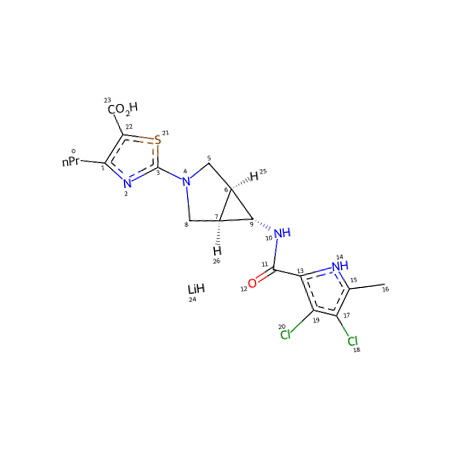 CCCc1nc(N2C[C@@H]3[C@H](C2)[C@H]3NC(=O)c2[nH]c(C)c(Cl)c2Cl)sc1C(=O)O.[LiH]